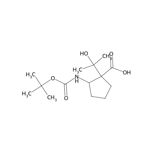 CC(C)(C)OC(=O)NC1CCCC1(C(=O)O)C(C)(C)O